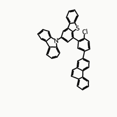 Clc1ccc(-c2ccc3c(ccc4ccccc43)c2)cc1-c1cc(-n2c3ccccc3c3ccccc32)cc2c1sc1ccccc12